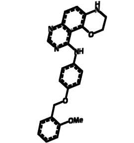 COc1ccccc1COc1ccc(Nc2ncnc3ccc4c(c23)OCCN4)cc1